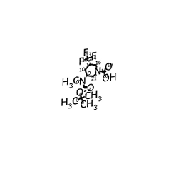 CN(C(=O)OC(C)(C)C)[C@@H]1C[C@H](C(F)(F)F)CN(C(=O)O)C1